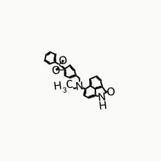 CCN(Cc1ccc(S(=O)(=O)c2ccccc2)cc1)c1ccc2c3c(cccc13)C(=O)N2